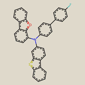 Fc1ccc(-c2ccc(N(c3ccc4c(c3)sc3ccccc34)c3cccc4c3oc3ccccc34)cc2)cc1